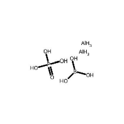 O=P(O)(O)O.OB(O)O.[AlH3].[AlH3]